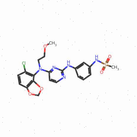 COCCN(c1ccnc(Nc2cccc(NS(C)(=O)=O)c2)n1)c1c(Cl)ccc2c1OCO2